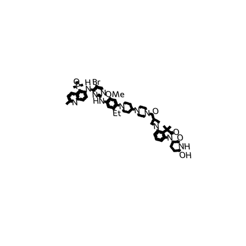 CCc1cc(Nc2ncc(Br)c(Nc3ccc4nc(C)ccc4c3P(C)(C)=O)n2)c(OC)cc1N1CCC(N2CCN(C(=O)C3CN(c4cccc5c4C(C)(C)C(=O)N5C4CCC(O)NC4=O)C3)CC2)CC1